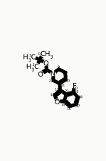 CC(C)(C)OC(=O)N1CCC=C(c2coc3cccc(F)c23)C1